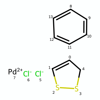 C1=CSSC1.[Cl-].[Cl-].[Pd+2].c1ccccc1